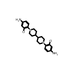 Nc1ccc(N2CCC(C3CCN(c4ccc(N)cc4Cl)CC3)CC2)c(Cl)c1